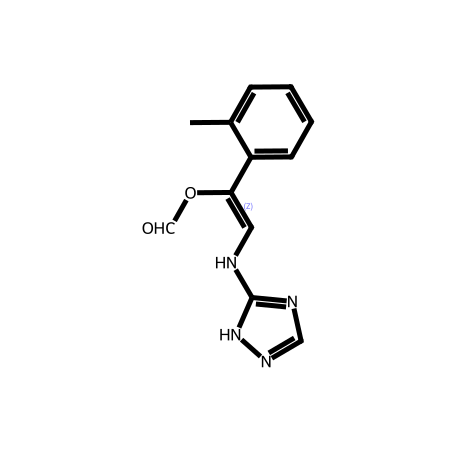 Cc1ccccc1/C(=C/Nc1ncn[nH]1)OC=O